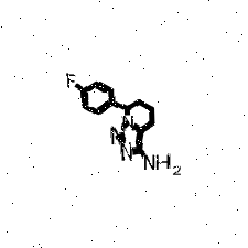 Nc1nnn2c1CCCC2c1ccc(F)cc1